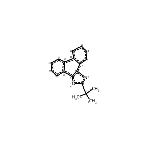 CC(C)(C)c1nc2c3ccccc3c3ccccc3c2o1